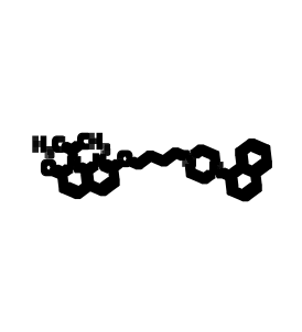 CC(C)n1c(=O)ccc2ccc(OCCCCN3CCN(c4cccc5ccccc45)CC3)nc21